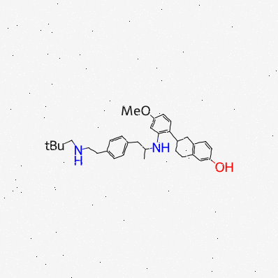 COc1ccc(C2CCc3cc(O)ccc3C2)c(NC(C)Cc2ccc(CCNCC(C)(C)C)cc2)c1